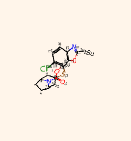 CC(C)(C)OC(=O)N1C2CCC1CC(Sc1c(Cl)ccc3nc(C(C)(C)C)oc13)C2